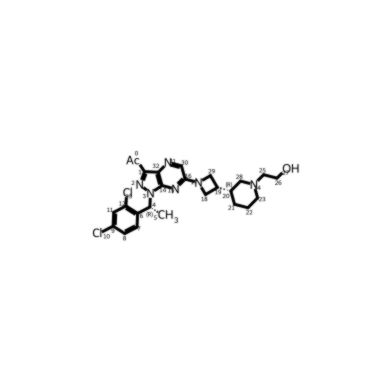 CC(=O)c1nn([C@H](C)c2ccc(Cl)cc2Cl)c2nc(N3CC([C@H]4CCCN(CCO)C4)C3)cnc12